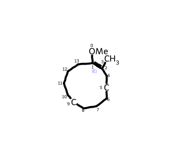 CO/C1=C(\C)CCCCCCCCCC1